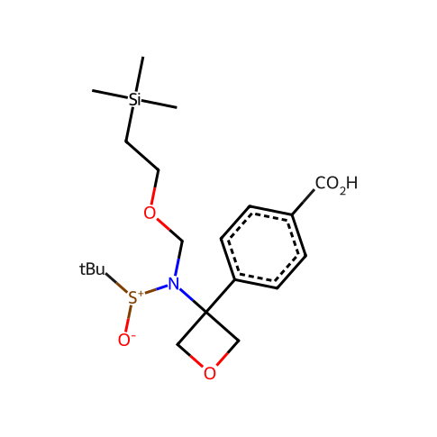 CC(C)(C)[S+]([O-])N(COCC[Si](C)(C)C)C1(c2ccc(C(=O)O)cc2)COC1